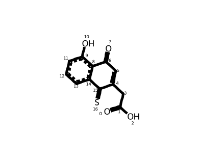 O=C(O)CC1=CC(=O)c2c(O)cccc2C1=S